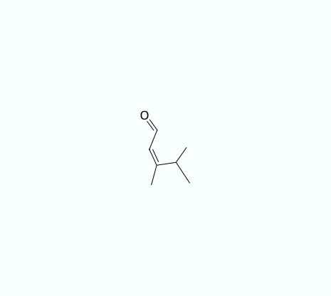 CC(=CC=O)C(C)C